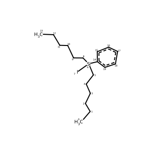 CCCCCC[Si](I)(CCCCCC)c1ccccc1